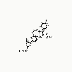 CC(=O)NCC1CN(c2ccc3c(c2)CCCC2C3=NN(CCO)C2c2ccc(F)cc2)C(=O)O1